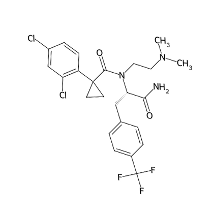 CN(C)CCN(C(=O)C1(c2ccc(Cl)cc2Cl)CC1)[C@@H](Cc1ccc(C(F)(F)F)cc1)C(N)=O